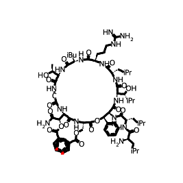 CC[C@H](C)[C@@H]1NC(=O)[C@@H](CCCNC(=N)N)NC(=O)[C@H](CC(C)C)NC(=O)[C@H]([C@H](O)C(C)C)NC(=O)[C@@H](NC(=O)[C@H](CC(C)C)NC(=O)[C@H](N)CC(C)C)[C@@H](c2ccccc2)OC(=O)[C@H](COC(=O)c2ccccc2)NC(=O)[C@H]([C@H](OC(=O)c2ccccc2)C(N)=O)NC(=O)CNC(=O)[C@H]([C@H](C)O)NC1=O